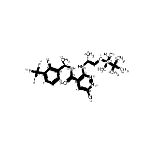 C[C@H](CO[Si](C)(C)C(C)(C)C)Nc1nnc(Cl)cc1C(=O)N[C@H](C)c1cccc(C(F)(F)F)c1F